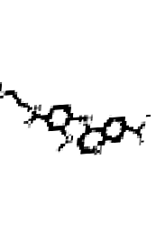 COCCNC(=O)c1ccc(Nc2ccnc3cc(C(F)F)ccc23)c(OC)c1